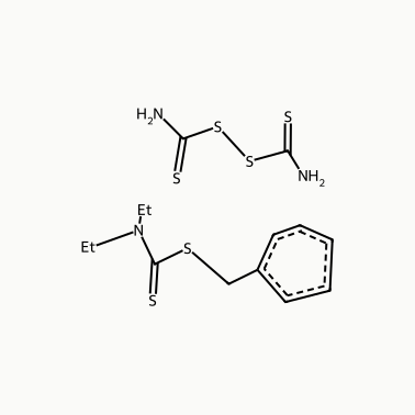 CCN(CC)C(=S)SCc1ccccc1.NC(=S)SSC(N)=S